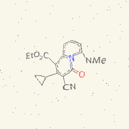 CCOC(=O)c1c(C2CC2)c(C#N)c(=O)n2c(NC)cccc12